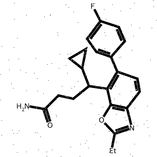 CCc1nc2ccc(-c3ccc(F)cc3)c(C(CCC(N)=O)C3CC3)c2o1